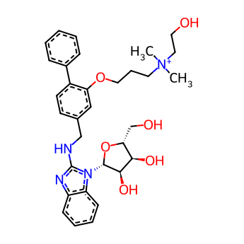 C[N+](C)(CCO)CCCOc1cc(CNc2nc3ccccc3n2[C@@H]2O[C@H](CO)[C@@H](O)[C@H]2O)ccc1-c1ccccc1